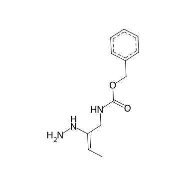 C/C=C(\CNC(=O)OCc1ccccc1)NN